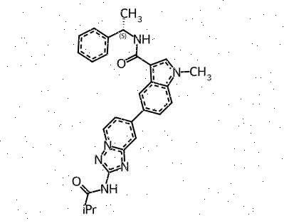 CC(C)C(=O)Nc1nc2cc(-c3ccc4c(c3)c(C(=O)N[C@@H](C)c3ccccc3)cn4C)ccn2n1